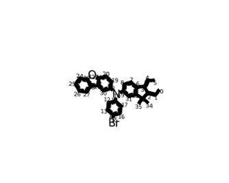 C/C=C1\C(=C/C)c2ccc(N(c3ccc(Br)cc3)c3ccc4oc5ccccc5c4c3)cc2C1(C)C